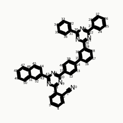 N#Cc1ccccc1-c1nc(-c2ccc(-c3cccc(-c4nc(-c5ccccc5)nc(-c5ccccc5)n4)c3)cc2)nc(-c2ccc3ccccc3c2)n1